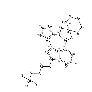 C[Si](C)(C)CCOCn1cc(-c2ncsn2)c2c(N3CCC4(CCCCN4)C3)ccnc21